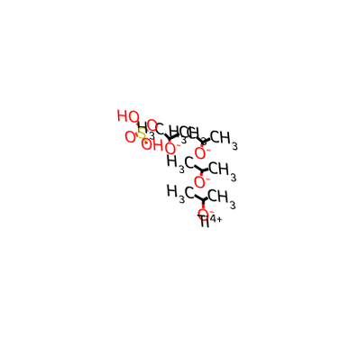 CC(C)[O-].CC(C)[O-].CC(C)[O-].CC(C)[O-].O=S(=O)(O)O.[Ti+4]